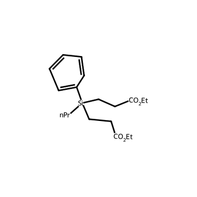 CCC[Si](CCC(=O)OCC)(CCC(=O)OCC)c1ccccc1